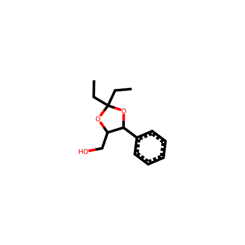 CCC1(CC)OC(CO)C(c2ccccc2)O1